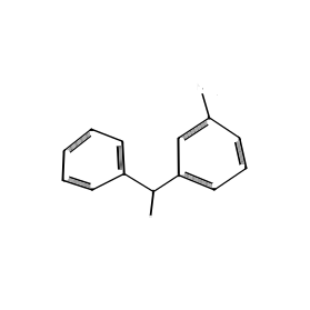 [CH2]CC(c1ccccc1)c1cccc(N)c1